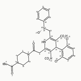 CC(C)(C)C(=O)N1CCN(C(=O)CC2=C(C(=O)O)C(c3c(Cl)cccc3Cl)C(C(=O)O)=C(C[S@+]([O-])c3ccccc3)N2)CC1